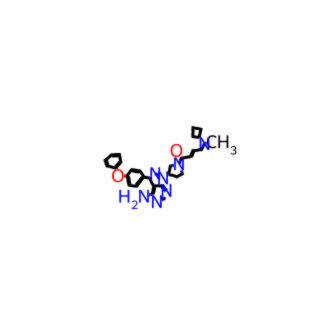 CN(C/C=C/C(=O)N1CCC(n2nc(-c3ccc(Oc4ccccc4)cc3)c3c(N)ncnc32)C1)C1CCC1